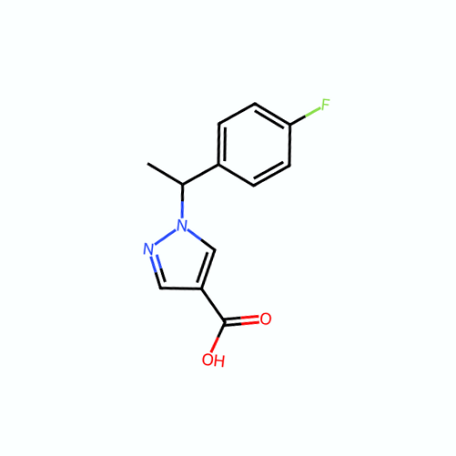 CC(c1ccc(F)cc1)n1cc(C(=O)O)cn1